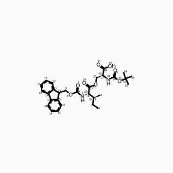 CC[C@H](C)[C@H](NC(=O)OCC1c2ccccc2-c2ccccc21)C(=O)OC[C@H](NC(=O)OC(C)(C)C)C(=O)O